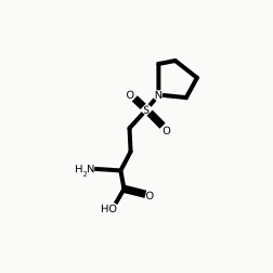 NC(CCS(=O)(=O)N1CCCC1)C(=O)O